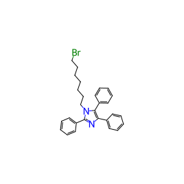 BrCCCCCCCn1c(-c2ccccc2)nc(-c2ccccc2)c1-c1ccccc1